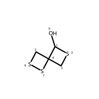 OC1SCC12CSS2